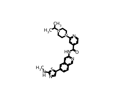 CNc1ncc(-c2ccc3cnc(NC(=O)c4ccnc(N5CCN(C(C)C)CC5)c4)cc3c2)s1